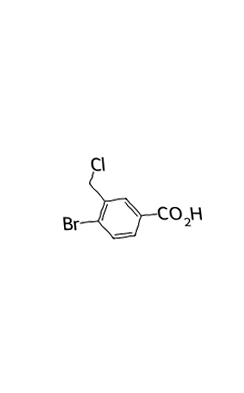 O=C(O)c1ccc(Br)c(CCl)c1